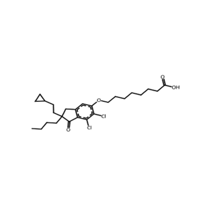 CCCCC1(CCC2CC2)Cc2cc(OCCCCCCCC(=O)O)c(Cl)c(Cl)c2C1=O